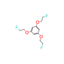 FCCOc1cc(OCCF)cc(OCCF)c1